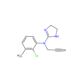 C#CCN(C1=NCCN1)c1cccc(C)c1Cl